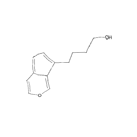 OCCCCc1ccc2ccocc1-2